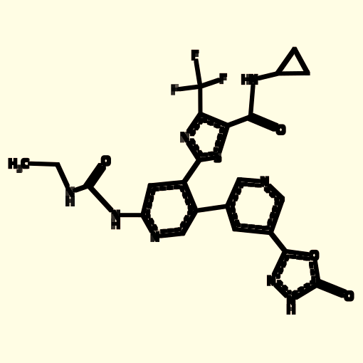 CCNC(=O)Nc1cc(-c2nc(C(F)(F)F)c(C(=O)NC3CC3)s2)c(-c2cncc(-c3n[nH]c(=O)o3)c2)cn1